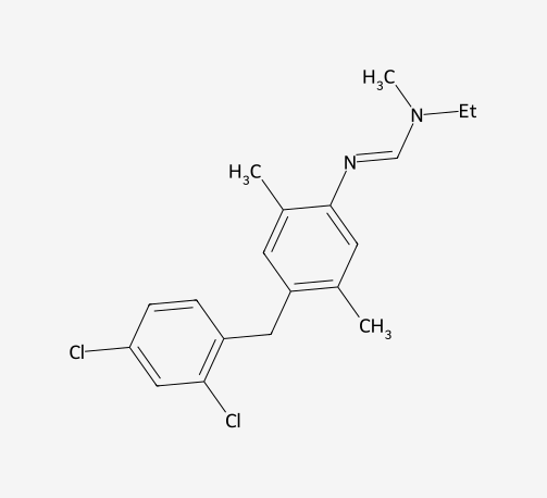 CCN(C)C=Nc1cc(C)c(Cc2ccc(Cl)cc2Cl)cc1C